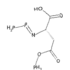 O=C(C[C@H](N=PP)C(=O)O)OP